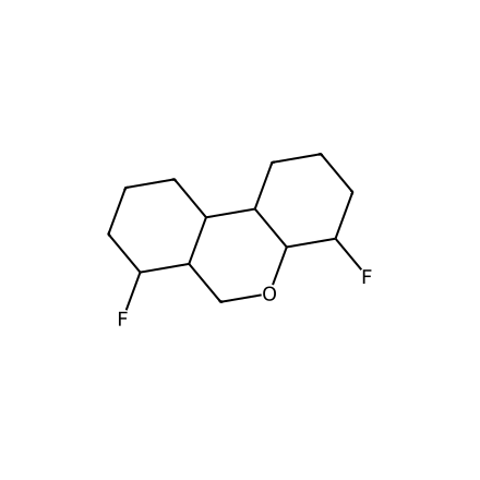 FC1CCCC2C1COC1C(F)CCCC21